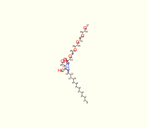 CCCCCCCCCCCCC/C=C/C(O)C(CO)NC(=O)COCCOCCOCCOCCOC